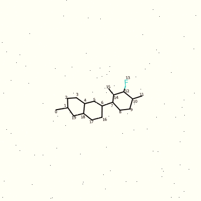 CC1CCC2CC(C3CCC(C)C(F)C3C)CCC2C1